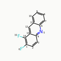 Fc1ccc2nc3ccccc3cc2c1F